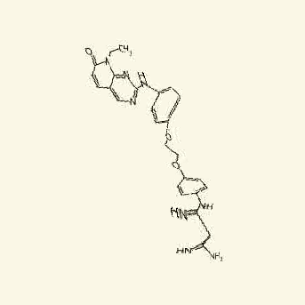 CCn1c(=O)ccc2cnc(Nc3ccc(OCCOc4ccc(NC(=N)CC(=N)N)cc4)cc3)nc21